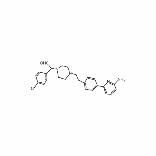 Nc1cccc(-c2ccc(CCN3CCN(C(C=O)c4ccc(Cl)cc4)CC3)cc2)n1